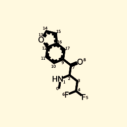 CNC(CC(F)F)C(=O)c1ccc2occc2c1